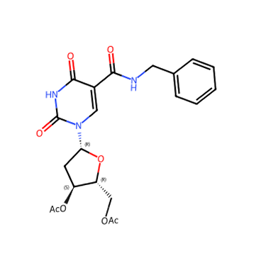 CC(=O)OC[C@H]1O[C@@H](n2cc(C(=O)NCc3ccccc3)c(=O)[nH]c2=O)C[C@@H]1OC(C)=O